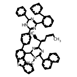 C#C/C(=C\C=C/C)C1=NC(c2c(-c3ccc(C4=NC(c5ccccc5-c5ccccc5)=NC(c5ccccc5)N4)cc3)ccc3sc4ccccc4c23)N(C)C(c2cccc3ccccc23)=N1